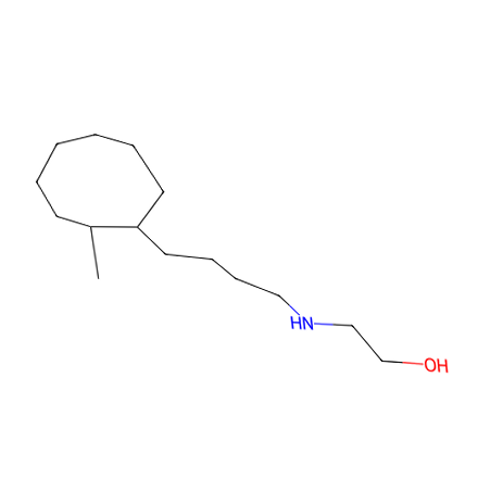 CC1CCCCCCC1CCCCNCCO